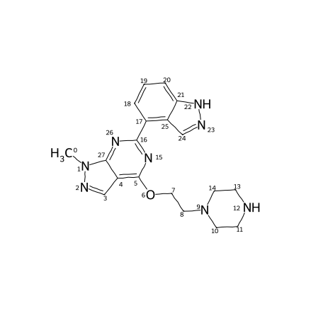 Cn1ncc2c(OCCN3CCNCC3)nc(-c3cccc4[nH]ncc34)nc21